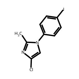 Cc1nc(Cl)cn1-c1ccc(I)cc1